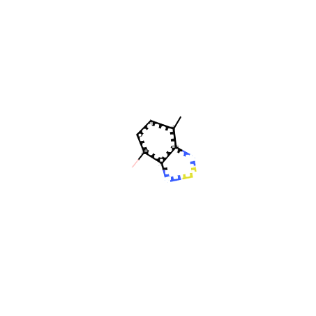 Bc1ccc(C)c2nsnc12